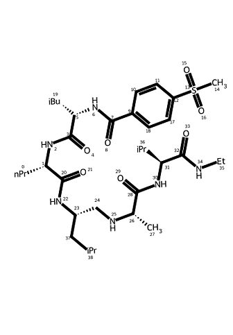 CCC[C@H](NC(=O)[C@@H](NC(=O)c1ccc(S(C)(=O)=O)cc1)[C@@H](C)CC)C(=O)N[C@H](CN[C@@H](C)C(=O)N[C@H](C(=O)NCC)C(C)C)CC(C)C